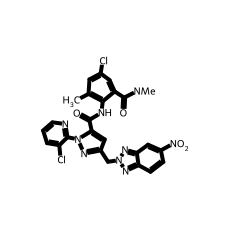 CNC(=O)c1cc(Cl)cc(C)c1NC(=O)c1cc(Cn2nc3ccc([N+](=O)[O-])cc3n2)nn1-c1ncccc1Cl